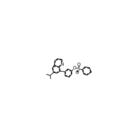 CC(C)c1cc(-c2cccc(OS(=O)(=O)c3ccccc3)c2)c2ncccc2c1